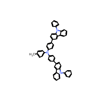 Cc1ccc(N(c2ccc(-c3ccc4c(c3)c3ccccc3n4-c3ccccc3)cc2)c2ccc(-c3ccc4c(c3)c3ccccc3n4-c3ccccc3)cc2)cc1